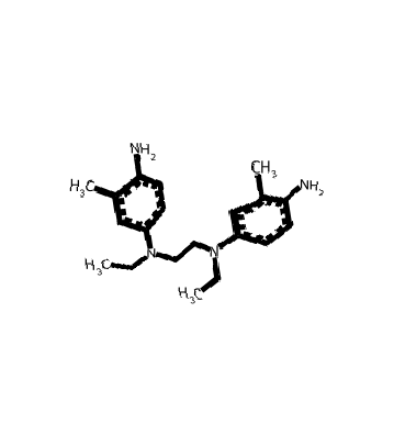 CCN(CCN(CC)c1ccc(N)c(C)c1)c1ccc(N)c(C)c1